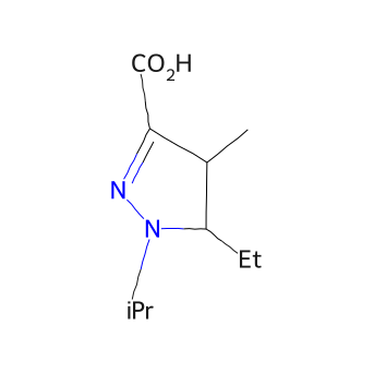 CCC1C(C)C(C(=O)O)=NN1C(C)C